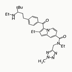 CCNC(CCc1ccc(C(=O)c2c(CC)cc3cc(C(=O)N(CC)Cc4nnn(C)n4)ccn23)cc1)C(C)(C)C